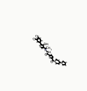 C/C(=N\NC(=O)c1ccc(C(=O)N2CCC(N3CCCC3)CC2)s1)c1csc(-c2ccc(Cl)c(Cl)c2)c1O